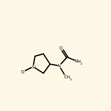 CN(C(N)=O)C1CC[S+]([O-])C1